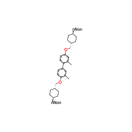 CCCCCCCCC[C@H]1CC[C@H](COc2ccc(-c3ccc(OC[C@H]4CC[C@H](CCCCCCCCC)CC4)c(C)c3)c(C)c2)CC1